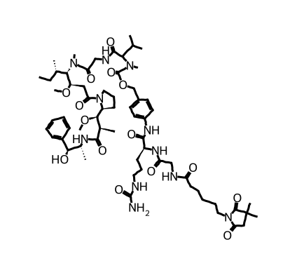 CC[C@H](C)[C@@H]([C@@H](CC(=O)N1CCC[C@H]1[C@H](OC)[C@@H](C)C(=O)N[C@H](C)[C@@H](O)c1ccccc1)OC)N(C)C(=O)CNC(=O)C(C(C)C)N(C)C(=O)OCc1ccc(NC(=O)[C@H](CCCNC(N)=O)NC(=O)CNC(=O)CCCCCN2C(=O)CC(C)(C)C2=O)cc1